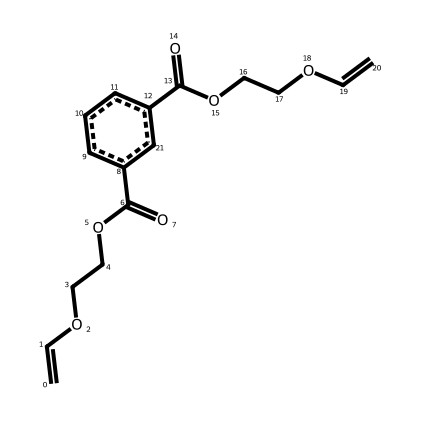 C=COCCOC(=O)c1cccc(C(=O)OCCOC=C)c1